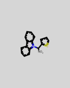 O=[N+]([O-])C(c1cccs1)n1c2ccccc2c2ccccc21